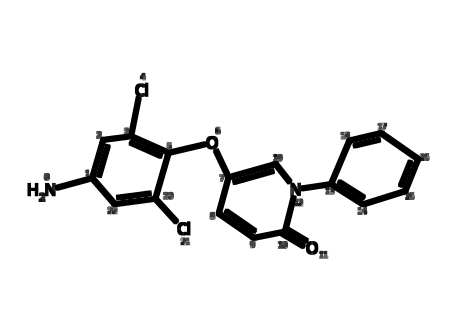 Nc1cc(Cl)c(Oc2ccc(=O)n(-c3ccccc3)c2)c(Cl)c1